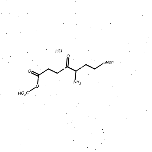 CCCCCCCCCCCC(N)C(=O)CCC(=O)OC(=O)O.Cl